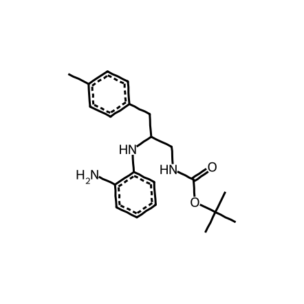 Cc1ccc(CC(CNC(=O)OC(C)(C)C)Nc2ccccc2N)cc1